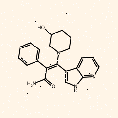 NC(=O)C(=C(c1c[nH]c2ncccc12)N1CCCC(O)C1)c1ccccc1